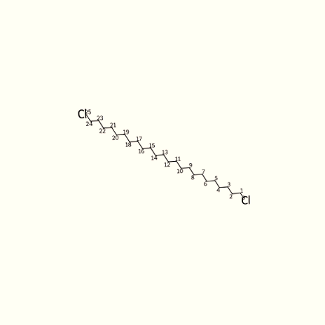 ClCCCCCCCCCCCCCCCCCCCCCCCCCl